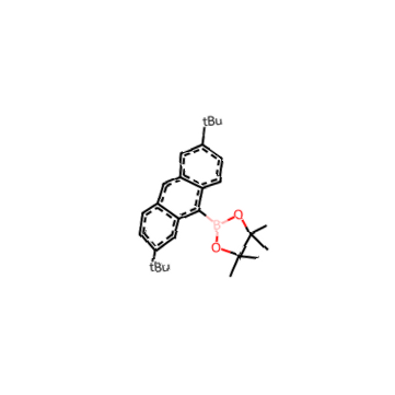 CC(C)(C)c1ccc2c(B3OC(C)(C)C(C)(C)O3)c3cc(C(C)(C)C)ccc3cc2c1